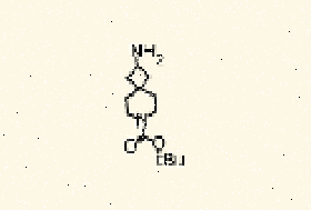 CC(C)(C)OC(=O)N1CCC2(CC1)CC(N)C2